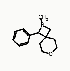 CN1CC2(CCOCC2)C1c1ccccc1